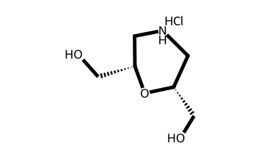 Cl.OC[C@@H]1CNC[C@H](CO)O1